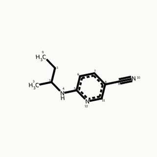 CCC(C)Nc1ccc(C#N)cn1